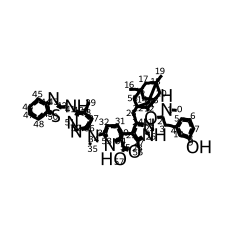 CNC(Cc1cccc(O)c1)OC1C2CC3(C)CC(C)(C2)CC1(Cc1n[nH]c(C)c1-c1ccc(N(C)c2cc(C)c(Nc4nc5ccccc5s4)nn2)nc1C(=O)O)C3